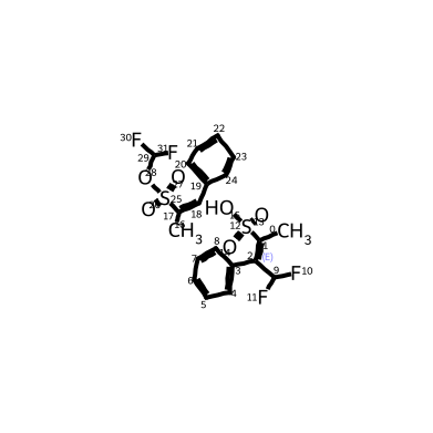 C/C(=C(/c1ccccc1)C(F)F)S(=O)(=O)O.CC(=Cc1ccccc1)S(=O)(=O)OC(F)F